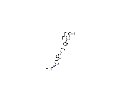 C/C=C/C1CCC(C2CCC(C3CCC(c4ccc(-c5ccc(OCC)c(F)c5F)cc4)CC3)CO2)CC1